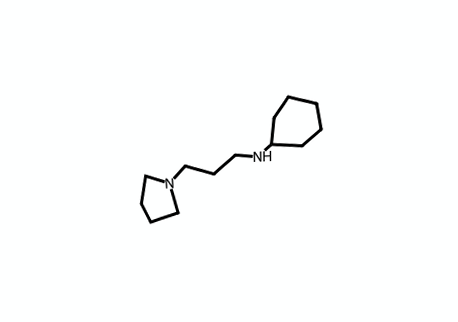 C1CCC(NCCCN2CCCC2)CC1